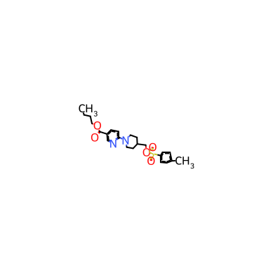 CCCCOC(=O)c1ccc(N2CCC(COS(=O)(=O)c3ccc(C)cc3)CC2)nc1